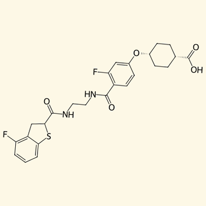 O=C(NCCNC(=O)C1Cc2c(F)cccc2S1)c1ccc(O[C@H]2CC[C@@H](C(=O)O)CC2)cc1F